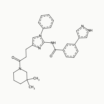 CC1(C)CCCN(C(=O)CCc2cn(-c3ccccc3)c(NC(=O)c3cccc(-c4cn[nH]c4)c3)n2)C1